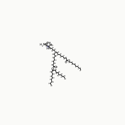 CCCCCCCCCOC(=O)CCCCCCCN(CCCCCCCC(=O)OC(CCCCCCCC)CCCCCCCC)CCCN/C(=N/[S+](N)[O-])N(C)C